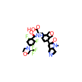 Cn1c(=O)c(-c2ccc(C[C@H](NC(=O)c3c(F)cc(N4CCOC[C@@H]4C(F)(F)F)cc3F)C(=O)O)c3c2COC3)cc2cnccc21